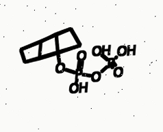 O=P(O)(O)OP(=O)(O)OC12C3C4C5C3C1C5C42